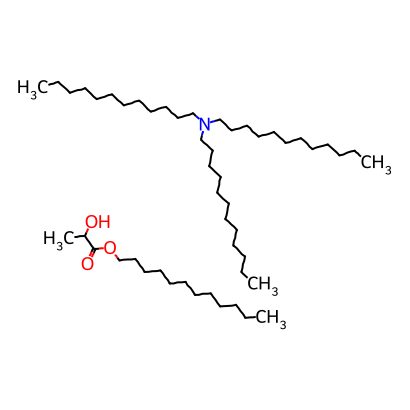 CCCCCCCCCCCCN(CCCCCCCCCCCC)CCCCCCCCCCCC.CCCCCCCCCCCCOC(=O)C(C)O